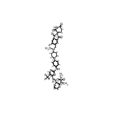 CN(Cc1cc2c(cc1F)C(=O)N(C1CCC(=O)NC1=O)C2=O)C1CCN(c2ccc(Nc3ncc(C(F)(F)F)c(NCc4nccnc4N(C)S(C)(=O)=O)n3)cc2)CC1